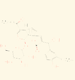 COC(=O)C1=CO[C@H](O[C@@H]2O[C@H](CO)[C@@H](O)[C@H](O)[C@H]2O)[C@H]2[C@@H]1C=C[C@@]21C=C(C(O)c2ccc(O)c(OC)c2)C(=O)O1